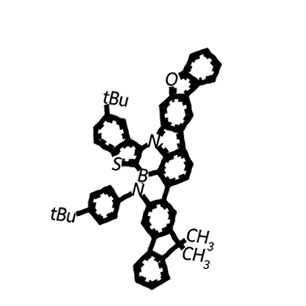 CC(C)(C)c1ccc(N2B3c4sc5ccc(C(C)(C)C)cc5c4-n4c5cc6oc7ccccc7c6cc5c5ccc(c3c54)-c3cc4c(cc32)-c2ccccc2C4(C)C)cc1